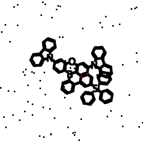 c1ccc([Si](c2ccccc2)(c2ccccc2)c2cccc(-c3ccccc3B3c4ccc(-n5c6ccccc6c6ccccc65)cc4Oc4cc(-n5c6ccccc6c6ccccc65)ccc43)c2)cc1